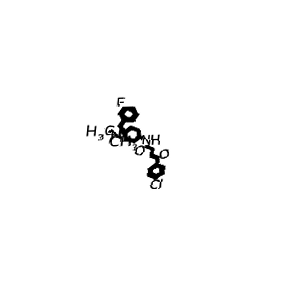 CN(C)C1(Cc2cccc(F)c2)CCC(NC(=O)CCC(=O)c2ccc(Cl)cc2)CC1